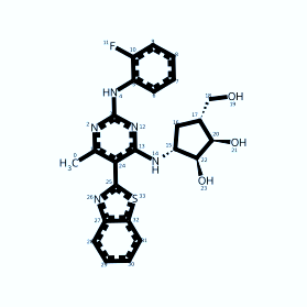 Cc1nc(Nc2ccccc2F)nc(N[C@@H]2C[C@H](CO)[C@@H](O)[C@H]2O)c1-c1nc2ccccc2s1